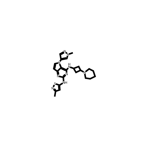 Cc1cc(Nc2nc(NC3CC(N4CCCCC4)C3)c3c(ccn3-c3cnn(C)c3)n2)sn1